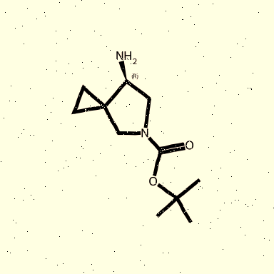 CC(C)(C)OC(=O)N1C[C@H](N)C2(CC2)C1